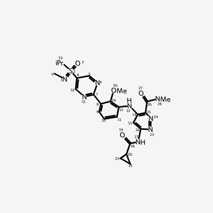 CN=S(=O)(c1cnc(-c2cccc(Nc3cc(NC(=O)C4CC4)nnc3C(=O)NC)c2OC)nc1)C(C)C